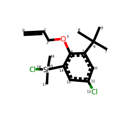 C=CCOc1c(C(C)(C)C)cc(Cl)cc1[Si](C)(C)Cl